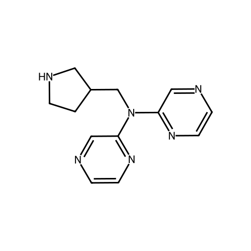 c1cnc(N(CC2CCNC2)c2cnccn2)cn1